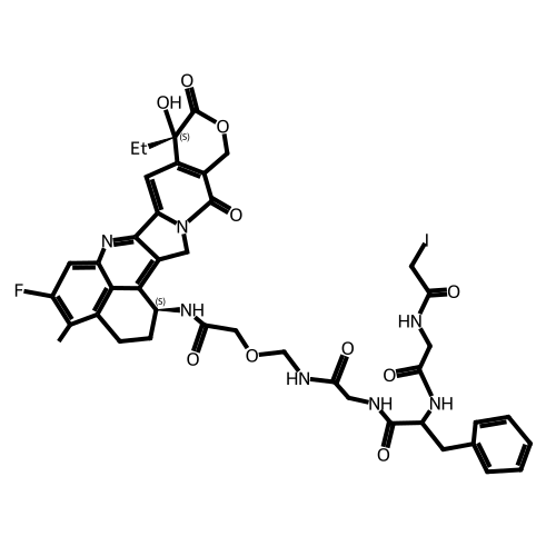 CC[C@@]1(O)C(=O)OCc2c1cc1n(c2=O)Cc2c-1nc1cc(F)c(C)c3c1c2[C@@H](NC(=O)COCNC(=O)CNC(=O)C(Cc1ccccc1)NC(=O)CNC(=O)CI)CC3